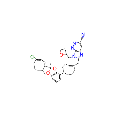 CC1CCC/C(Cl)=C\C=C/1[C@@]1(C)Oc2cccc(C3CC/C=C(\Cc4nc5cc(C#N)nnc5n4C[C@@H]4CCO4)CCC3)c2O1